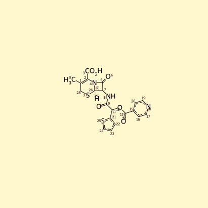 CC1=C(C(=O)O)N2C(=O)C(NC(=O)C(OC(=O)c3ccncc3)c3cccs3)[C@H]2SC1